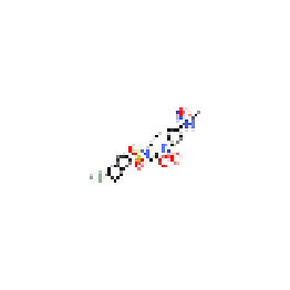 CCCCN(CC1CN(c2ccc(-c3noc(C)n3)cc2)C(=O)O1)S(=O)(=O)c1ccc2cc(Cl)ccc2c1